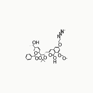 COCOc1cc(OCCN=[N+]=[N-])cc(/C=C/C[C@@H]2OC(C)(C)OC2C(/C=C\[C@@H](C)[C@H](C)O)OC(=O)c2ccccc2)c1C(=O)O